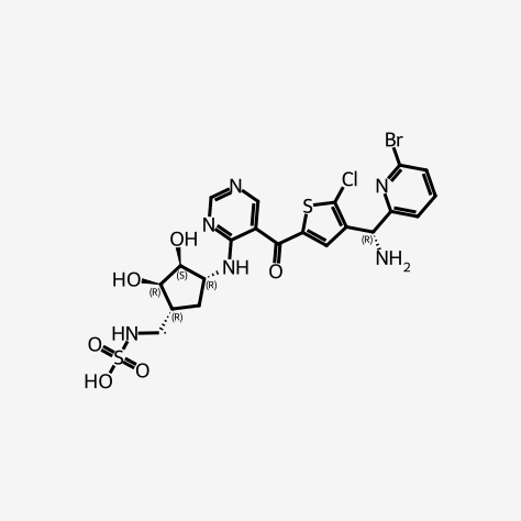 N[C@@H](c1cccc(Br)n1)c1cc(C(=O)c2cncnc2N[C@@H]2C[C@H]([CH]NS(=O)(=O)O)[C@@H](O)[C@H]2O)sc1Cl